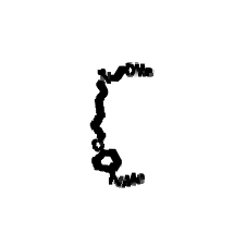 CN[C@H]1CC[C@H](OCCCCCCN(C)CCOC)CC1